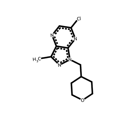 Cc1nn(CC2CCOCC2)c2nc(Cl)cnc12